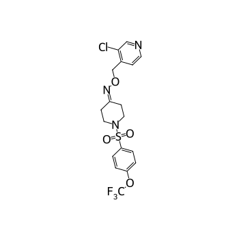 O=S(=O)(c1ccc(OC(F)(F)F)cc1)N1CCC(=NOCc2ccncc2Cl)CC1